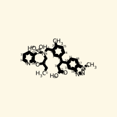 CCC1CN(Cc2cc(C(CC(=O)O)c3ccc4c(c3)nnn4C)ccc2C)S(O)(O)c2cccnc2O1